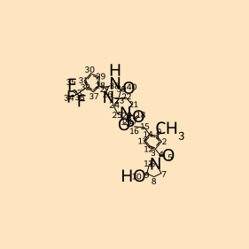 Cc1cc(C(=O)N2CC[C@@H](O)C2)ccc1CCS(=O)(=O)N1CCC2(CC1)N=C(c1cccc(C(F)(F)F)c1)NC2=O